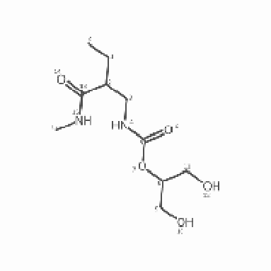 CCC(CNC(=O)OC(CO)CO)C(=O)NC